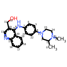 CC1CN(c2ccc(Nc3c(CO)cnc4ccccc34)cc2)CCN1C